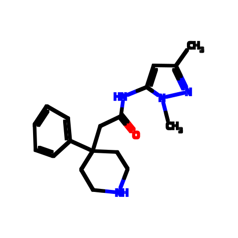 Cc1cc(NC(=O)CC2(c3ccccc3)CCNCC2)n(C)n1